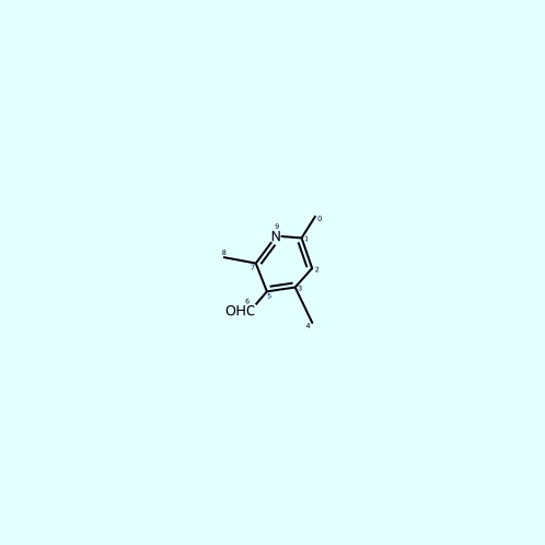 Cc1cc(C)c(C=O)c(C)n1